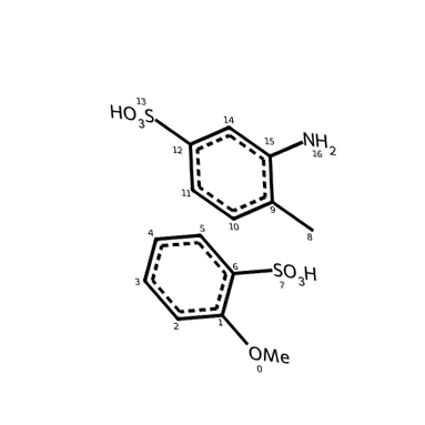 COc1ccccc1S(=O)(=O)O.Cc1ccc(S(=O)(=O)O)cc1N